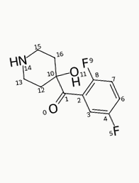 O=C(c1cc(F)ccc1F)C1(O)CCNCC1